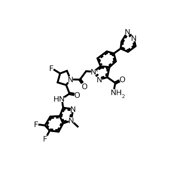 Cn1nc(NC(=O)C2CC(F)CN2C(=O)Cn2nc(C(N)=O)c3cc(-c4ccnnc4)ccc32)c2cc(F)c(F)cc21